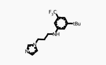 CC(C)(C)c1cc(NCCCn2ccnc2)cc(C(F)(F)F)c1